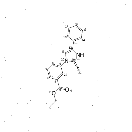 CCOC(=O)c1cccc(-n2cc(-c3ccccc3)[nH]c2=S)c1